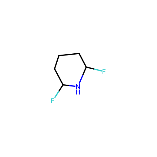 FC1CCCC(F)N1